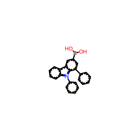 OB(O)c1cc(-c2ccccc2)c2c(c1)c1ccccc1n2-c1ccccc1